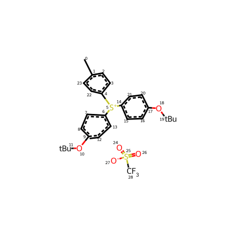 Cc1ccc([S+](c2ccc(OC(C)(C)C)cc2)c2ccc(OC(C)(C)C)cc2)cc1.O=S(=O)([O-])C(F)(F)F